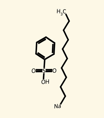 CCCCCCCCC[CH2][Na].O=S(=O)(O)c1ccccc1